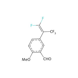 COc1ccc(C(=C(F)F)C(F)(F)F)cc1C=O